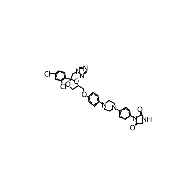 O=C1CNC(=O)N1c1ccc(N2CCN(c3ccc(OCC4COC(Cn5cncn5)(c5ccc(Cl)cc5Cl)O4)cc3)CC2)cc1